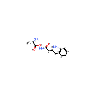 CC(C)[C@@H](N)C(=O)ONC(=O)C[C@H](N)Cc1ccccc1